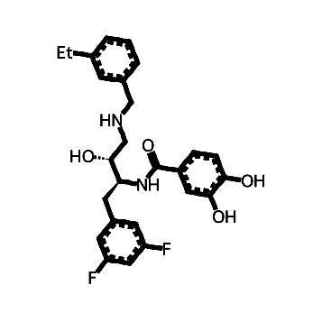 CCc1cccc(CNC[C@@H](O)[C@H](Cc2cc(F)cc(F)c2)NC(=O)c2ccc(O)c(O)c2)c1